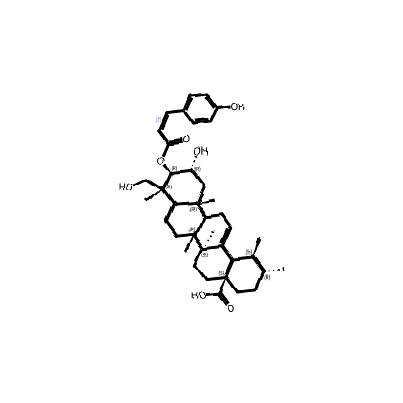 C[C@@H]1CC[C@]2(C(=O)O)CC[C@]3(C)C(=CCC4[C@@]5(C)C[C@@H](O)[C@H](OC(=O)/C=C\c6ccc(O)cc6)[C@@](C)(CO)C5CC[C@]43C)C2[C@H]1C